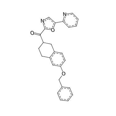 O=C(c1ncc(-c2ccccn2)o1)C1CCc2cc(OCc3ccccc3)ccc2C1